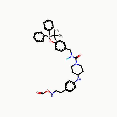 CC(C)(C)[Si](Oc1ccc(CN(F)C(=O)N2CCC(Nc3ccc(CCNOC=O)cc3)CC2)cc1)(c1ccccc1)c1ccccc1